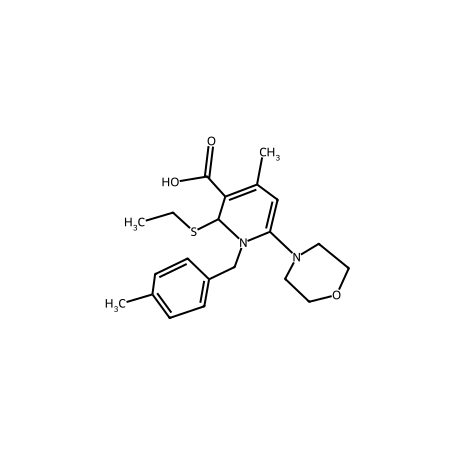 CCSC1C(C(=O)O)=C(C)C=C(N2CCOCC2)N1Cc1ccc(C)cc1